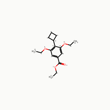 CCOC(=O)c1cc(OCC)c(C2CCC2)c(OCC)c1